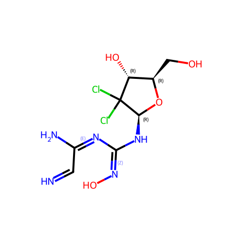 N=C/C(N)=N\C(=N/O)N[C@@H]1O[C@H](CO)[C@@H](O)C1(Cl)Cl